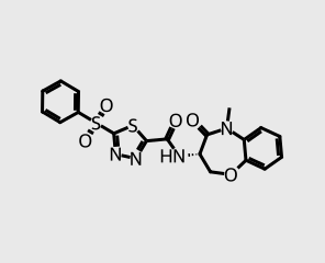 CN1C(=O)[C@@H](NC(=O)c2nnc(S(=O)(=O)c3ccccc3)s2)COc2ccccc21